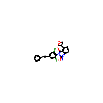 O=c1[nH]c2cccc(C3COC3)c2c(=O)n1-c1c(F)cc(C#Cc2ccccc2)cc1F